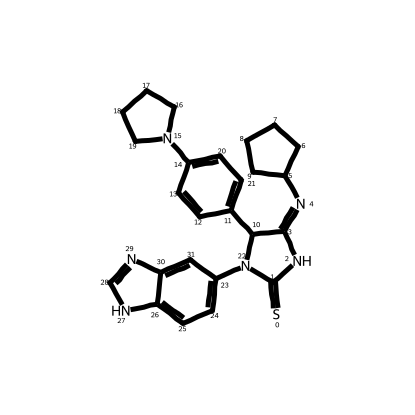 S=C1N/C(=N/C2CCCC2)C(c2ccc(N3CCCC3)cc2)N1c1ccc2[nH]cnc2c1